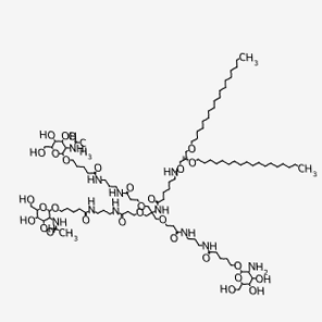 CCCCCCCCCCCCCCCCCCOC[C@H](CONCCCCCC(=O)NC(COCCC(=O)NCCCNC(=O)CCCCOC1OC(CO)C(O)C(O)C1N)(COCCC(=O)NCCCNC(=O)CCCCOC1OC(CO)C(O)C(O)C1NC(C)=O)COCCC(=O)NCCCNC(=O)CCCCOC1OC(CO)C(O)C(O)C1NC(C)=O)OCCCCCCCCCCCCCCCCCC